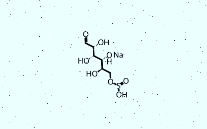 O=C[C@H](O)[C@@H](O)[C@H](O)[C@H](O)COS(=O)O.[Na]